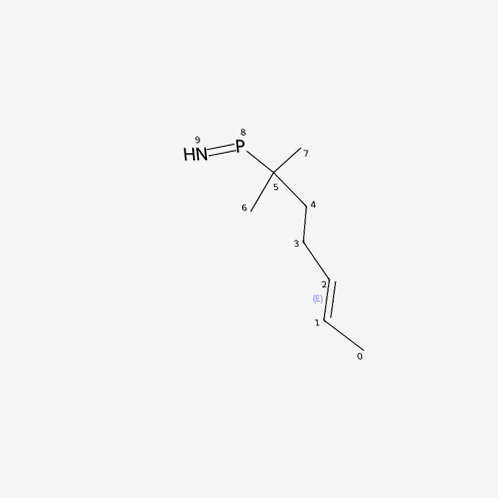 C/C=C/CCC(C)(C)P=N